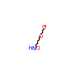 CNC(=O)CCCCCOCCCCOC